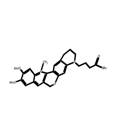 COc1cc2cc3c([n+](C)c2cc1OC)-c1cc2c(cc1OC3)N(CCCC(=O)C(C)(C)C)CCC2